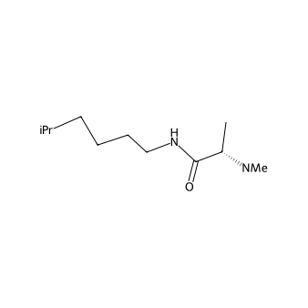 CN[C@@H](C)C(=O)NCCCCC(C)C